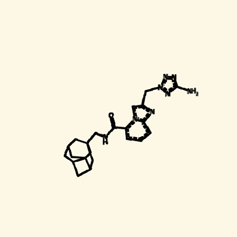 Nc1nnn(Cc2cn3c(C(=O)NCC45CC6CC7CC(C4)C7(C6)C5)cccc3n2)n1